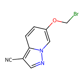 N#Cc1cnn2cc(OCBr)ccc12